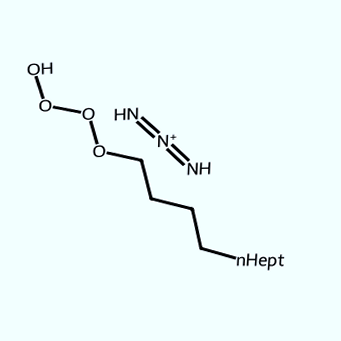 CCCCCCCCCCCOOOO.N=[N+]=N